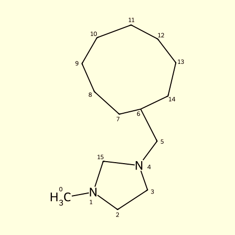 CN1CCN(CC2CCCCCCCC2)C1